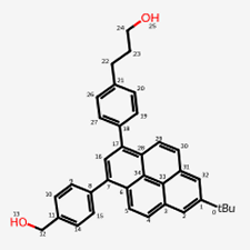 CC(C)(C)c1cc2ccc3c(-c4ccc(CO)cc4)cc(-c4ccc(CCCO)cc4)c4ccc(c1)c2c34